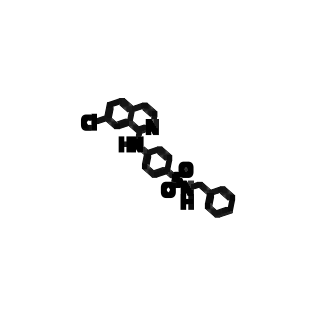 O=S(=O)(NCc1ccccc1)c1ccc(Nc2nccc3ccc(Cl)cc23)cc1